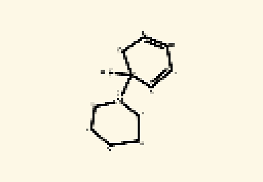 FC1(N2CCCCC2)C=CC=CC1